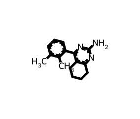 Cc1cccc(-c2nc(N)nc3c2CCCC3)c1C